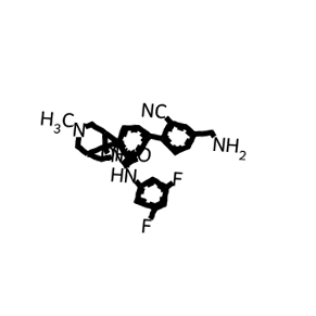 CN1CC2CN(C(=O)Nc3cc(F)cc(F)c3)CC(C1)C2(O)c1ccc(-c2ccc(CN)cc2C#N)cc1